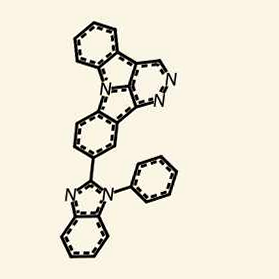 c1ccc(-n2c(-c3ccc4c(c3)c3nncc5c6ccccc6n4c53)nc3ccccc32)cc1